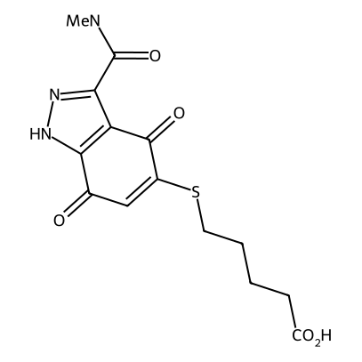 CNC(=O)c1n[nH]c2c1C(=O)C(SCCCCC(=O)O)=CC2=O